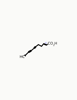 C#CC#CC#CCC/C=C/C(=O)O